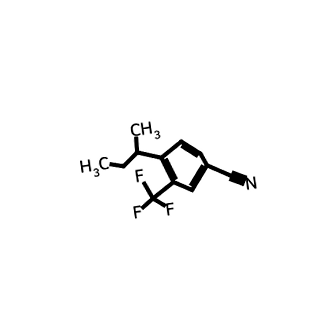 CCC(C)c1ccc(C#N)cc1C(F)(F)F